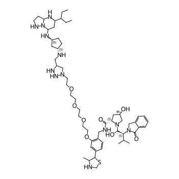 CCC(CC)C1CC(N[C@H]2CC[C@H](NCC3CN(CCOCCOCCOCCOc4cc(C5SCNC5C)ccc4CNC(=O)[C@@H]4C[C@@H](O)CN4C(O)[C@H](C(C)C)N4Cc5ccccc5C4=O)NN3)C2)N2NCCC2N1